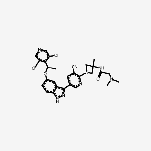 C[C@@H](Oc1ccc2[nH]nc(-c3cnc(N4CC(C)(NC(=O)CN(C)C)C4)c(C#N)c3)c2c1)c1c(Cl)cncc1Cl